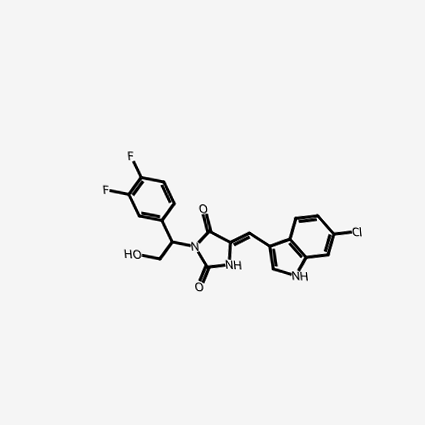 O=C1NC(=Cc2c[nH]c3cc(Cl)ccc23)C(=O)N1C(CO)c1ccc(F)c(F)c1